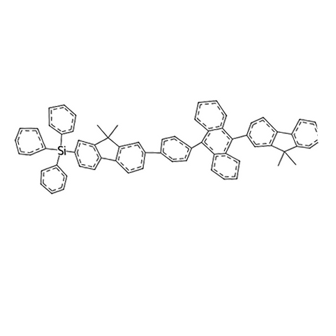 CC1(C)c2ccccc2-c2ccc(-c3c4ccccc4c(-c4ccc(-c5ccc6c(c5)C(C)(C)c5cc([Si](c7ccccc7)(c7ccccc7)c7ccccc7)ccc5-6)cc4)c4ccccc34)cc21